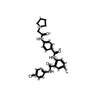 O=C(CN1CCCC1)Nc1ccc(C(=O)Nc2ccc(F)cc2C(=O)Nc2ccc(Cl)cn2)cc1